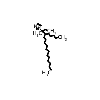 CCCCCCCCCCCCCC(CCCCC)C(C)(CC)n1ccnc1